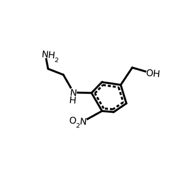 NCCNc1cc(CO)ccc1[N+](=O)[O-]